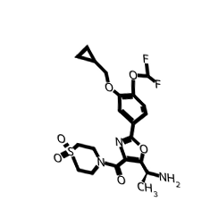 C[C@H](N)c1oc(-c2ccc(OC(F)F)c(OCC3CC3)c2)nc1C(=O)N1CCS(=O)(=O)CC1